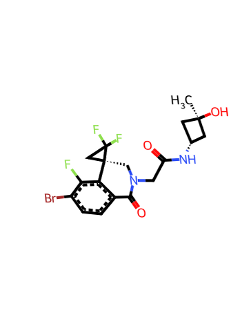 C[C@]1(O)C[C@H](NC(=O)CN2C[C@@]3(CC3(F)F)c3c(ccc(Br)c3F)C2=O)C1